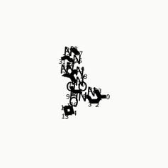 Cc1ccc(NC(=O)[C@H](COC2CCC2)Oc2ncnc3c2cnn3-c2nccnc2C)nc1